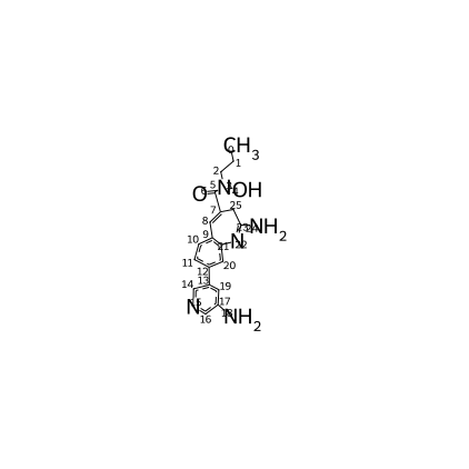 CCCN(O)C(=O)C1=Cc2ccc(-c3cncc(N)c3)cc2N=C(N)C1